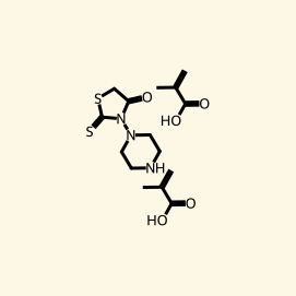 C=C(C)C(=O)O.C=C(C)C(=O)O.O=C1CSC(=S)N1N1CCNCC1